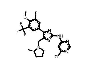 COc1c(F)cc(-c2nc(Nc3cc(Cl)ncn3)sc2CN2CCC[C@H]2C)cc1C(F)(F)F